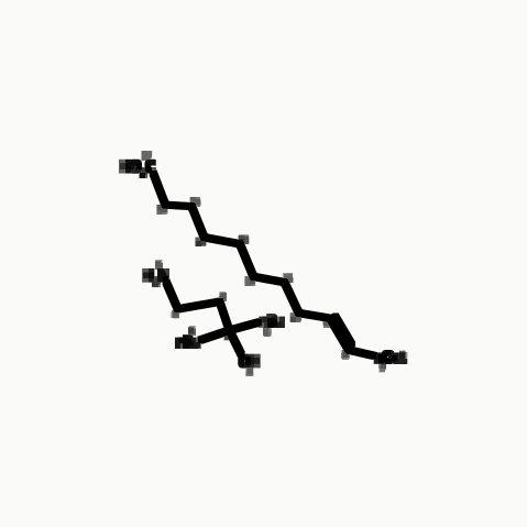 CCCCC(O)(CCN)CCCC.CCCCCCCCC=CCCCCCCCC(=O)O